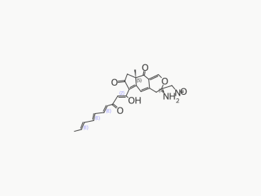 C/C=C/C=C/C=C/C(=O)/C=C(\O)C1=C2C=C3C[C@@](N)(CN=O)OC=C3C(=O)[C@@]2(C)CC1=O